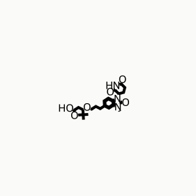 Cn1c(=O)n(C2CCC(=O)NC2=O)c2ccc(CCCOC(CC(=O)O)C(C)(C)C)cc21